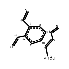 C=CC=CCCCC.C=Cc1ccccc1C=C